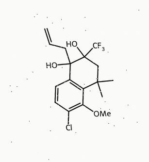 C=CCC1(O)c2ccc(Cl)c(OC)c2C(C)(C)CC1(O)C(F)(F)F